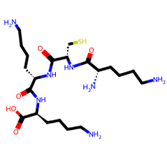 NCCCC[C@H](NC(=O)[C@H](CCCCN)NC(=O)[C@H](CS)NC(=O)[C@@H](N)CCCCN)C(=O)O